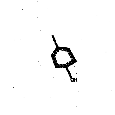 Cc1c[c]c(O)cc1